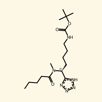 CCCCC(=O)N(C)[C@@H](CCCCNC(=O)OC(C)(C)C)c1nnn[nH]1